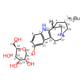 CC[C@H](C)C[C@H]1C[C@H]2c3[nH]c4ccc(O[C@H]5O[C@H](CO)[C@@H](O)[C@H](O)[C@@H]5O)cc4c3CC[N@@](C1)C2C